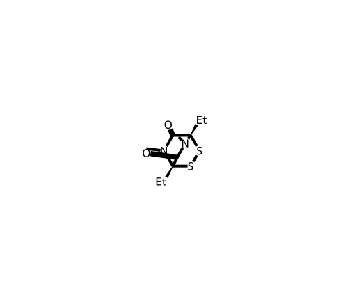 CC[C@@]12SS[C@@](CC)(C(=O)N1C)N(C)C2=O